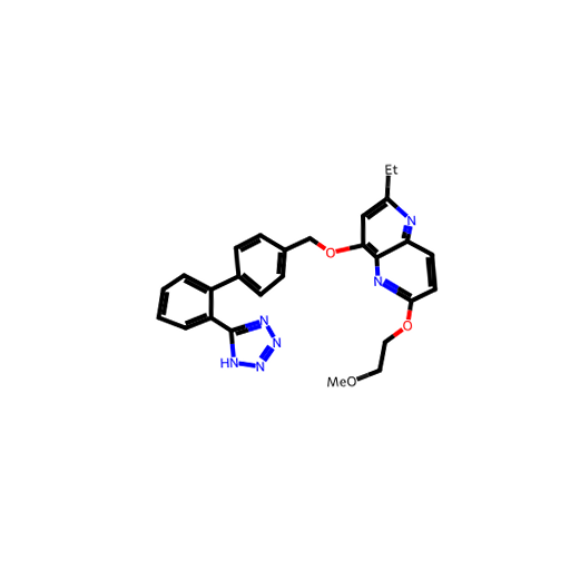 CCc1cc(OCc2ccc(-c3ccccc3-c3nnn[nH]3)cc2)c2nc(OCCOC)ccc2n1